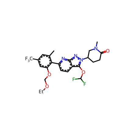 CCOCOc1cc(C(F)(F)F)cc(C)c1-c1ccc2c(OC(F)F)n(C3CCC(=O)N(C)C3)nc2n1